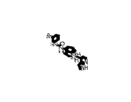 [2H]C([2H])(c1ccnc2[nH]ccc12)N1CCc2c(NC(=O)Nc3cccc(Br)c3)cccc21